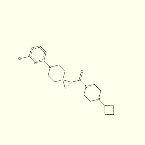 O=C(C1CC12CCN(c1cccc(Cl)n1)CC2)N1CCN(C2CCC2)CC1